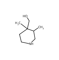 CC1CNCCC1(C)CO